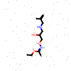 C=C(C)CNCC(O)CON=C(C)OCC